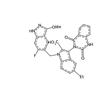 CCc1ccc2c(c1)c(-n1c(=O)[nH]c3ccccc3c1=O)c(C(=O)O)n2Cc1cc2c(OC)n[nH]c2cc1F